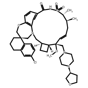 CO[C@@]1(CN2CCN([C@H]3CCOC3)CC2)/C=C/C[C@H](C)[C@@H](C)S(=O)(=O)NC(=O)c2ccc3c(c2)N(C[C@@H]2CC[C@H]21)C[C@@]1(CCCc2cc(Cl)ccc21)CO3